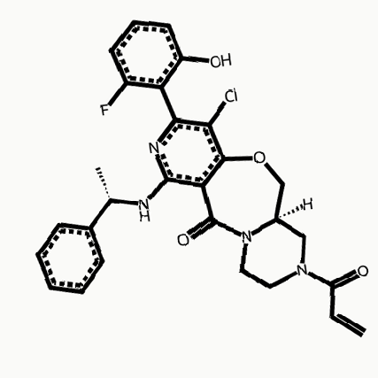 C=CC(=O)N1CCN2C(=O)c3c(N[C@@H](C)c4ccccc4)nc(-c4c(O)cccc4F)c(Cl)c3OC[C@H]2C1